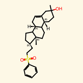 CC1(O)CC[C@H]2C(=CC[C@@H]3C2CC[C@@]2(C)C3CC[C@@H]2CCS(=O)(=O)c2ccccc2)C1